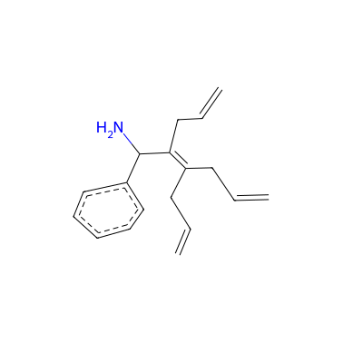 C=CCC(CC=C)=C(CC=C)C(N)c1ccccc1